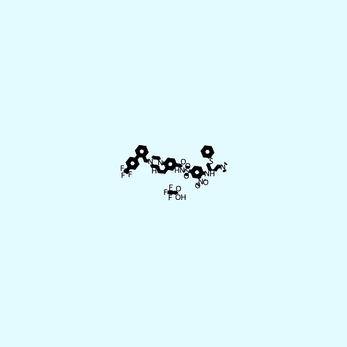 CN(C)CC[C@H](CSc1ccccc1)Nc1ccc(S(=O)(=O)NC(=O)c2ccc3c(c2)CC[C@H]2CN(Cc4ccccc4-c4ccc(C(F)(F)F)cc4)CCN32)cc1[N+](=O)[O-].O=C(O)C(F)(F)F